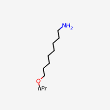 CCCOCCCCCCCCN